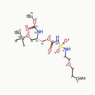 COCCOCCNS(=O)(=O)NC(=O)OC[C@H](CO[Si](C)(C)C(C)(C)C)NC(=O)OC(C)(C)C